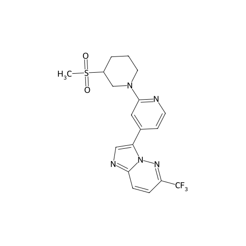 CS(=O)(=O)C1CCCN(c2cc(-c3cnc4ccc(C(F)(F)F)nn34)ccn2)C1